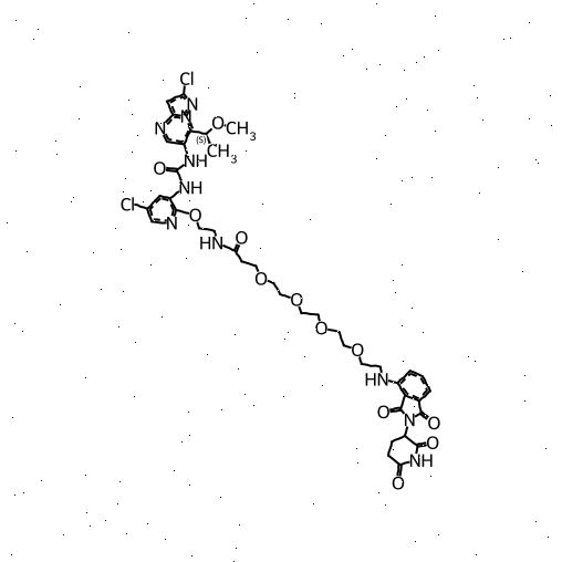 CO[C@@H](C)c1c(NC(=O)Nc2cc(Cl)cnc2OCCNC(=O)CCOCCOCCOCCOCCNc2cccc3c2C(=O)N(C2CCC(=O)NC2=O)C3=O)cnc2cc(Cl)nn12